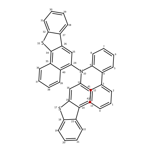 c1ccc(-c2ccccc2N(c2ccc3c(c2)sc2ccccc23)c2cc3c4ccccc4sc3c3ccccc23)cc1